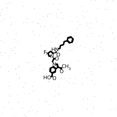 CC(=O)c1cn(CC(=O)N2C[C@H](F)C[C@H]2C(=O)NCCCCc2ccccc2)c2ccc(C(=O)O)cc12